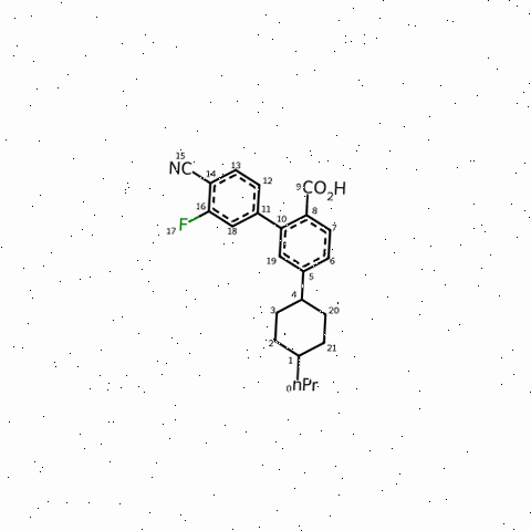 CCCC1CCC(c2ccc(C(=O)O)c(-c3ccc(C#N)c(F)c3)c2)CC1